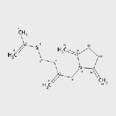 C=C(CCSC(=C)C)CN1C(=C)CCC1=C